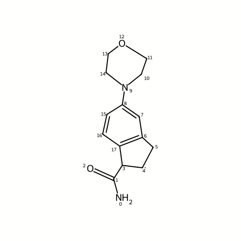 NC(=O)C1[CH]Cc2cc(N3CCOCC3)ccc21